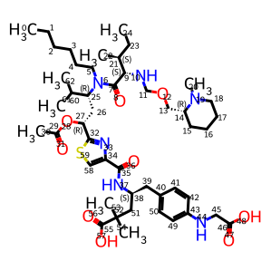 CCCCCCN(C(=O)[C@@H](NCOC[C@H]1CCCCN1C)[C@@H](C)CC)[C@H](C[C@@H](OC(C)=O)c1nc(C(=O)N[C@@H](Cc2ccc(NCC(=O)O)cc2)CC(C)(C)C(=O)O)cs1)C(C)C